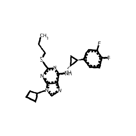 CCCSc1nc(N[C@@H]2C[C@H]2c2ccc(F)c(F)c2)c2ncn(C3CCC3)c2n1